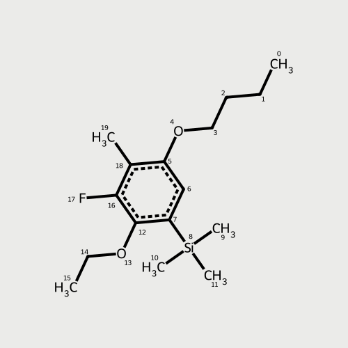 CCCCOc1cc([Si](C)(C)C)c(OCC)c(F)c1C